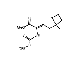 COC(=O)/C(=C/CC1(C)CCC1)NC(=O)OC(C)(C)C